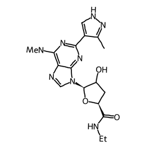 CCNC(=O)[C@@H]1CC(O)[C@H](n2cnc3c(NC)nc(-c4c[nH]nc4C)nc32)O1